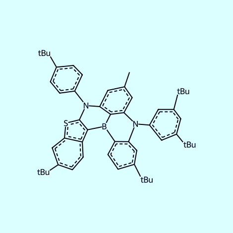 Cc1cc2c3c(c1)N(c1ccc(C(C)(C)C)cc1)c1sc4cc(C(C)(C)C)ccc4c1B3c1ccc(C(C)(C)C)cc1N2c1cc(C(C)(C)C)cc(C(C)(C)C)c1